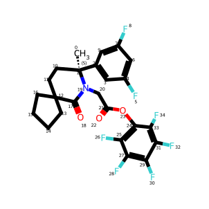 C[C@@]1(c2cc(F)cc(F)c2)CCC2(CCCC2)C(=O)N1CC(=O)Oc1c(F)c(F)c(F)c(F)c1F